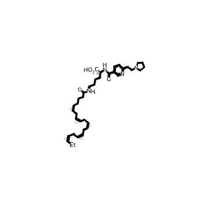 CC/C=C\C/C=C\C/C=C\C/C=C\C/C=C\CCCC(=O)NCCCC[C@H](NC(=O)c1ccc(CCN2CCCC2)nc1)C(=O)O